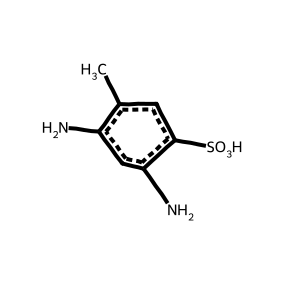 Cc1cc(S(=O)(=O)O)c(N)cc1N